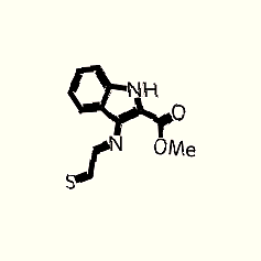 COC(=O)c1[nH]c2ccccc2c1N=CC=S